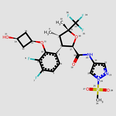 C[C@H]1[C@@H](c2ccc(F)c(F)c2O[C@H]2C[C@@H](O)C2)[C@H](C(=O)Nc2cnn(S(C)(=O)=O)c2)O[C@@]1(C)C(F)(F)F